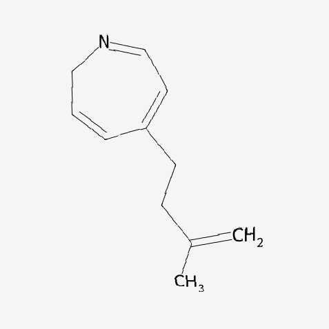 C=C(C)CCC1=CC=NCC=C1